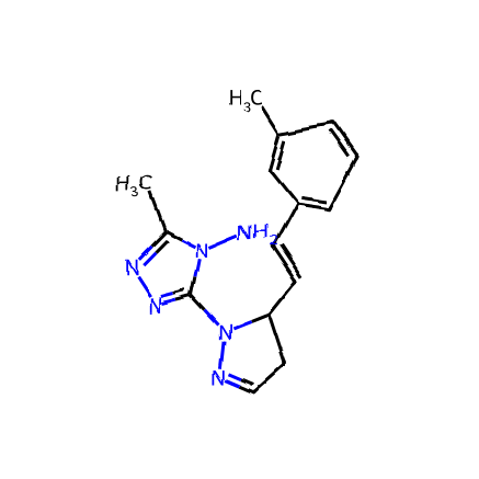 Cc1cccc(/C=C/C2CC=NN2c2nnc(C)n2N)c1